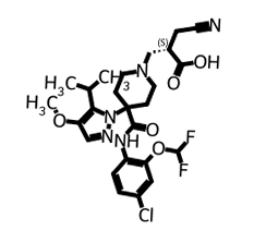 COc1cnn(C2(C(=O)Nc3ccc(Cl)cc3OC(F)F)CCN(C[C@H](CC#N)C(=O)O)CC2)c1C(C)C